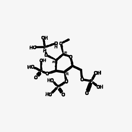 CO[C@H]1OC(COP(=O)(O)O)[C@@H](OP(=O)(O)O)C(OP(=O)(O)O)[C@H]1O[PH](O)(O)O